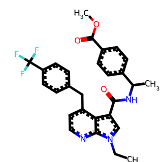 CCn1cc(C(=O)NC(C)c2ccc(C(=O)OC)cc2)c2c(Cc3ccc(C(F)(F)F)cc3)ccnc21